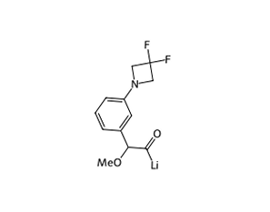 [Li][C](=O)C(OC)c1cccc(N2CC(F)(F)C2)c1